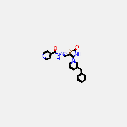 O=C(N/N=C/c1sc(=O)[nH]c1-[n+]1cccc(Cc2ccccc2)c1)c1ccncc1